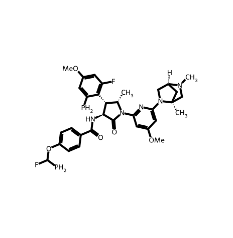 COc1cc(N2C(=O)[C@@H](NC(=O)c3ccc(OC(F)P)cc3)[C@H](c3c(F)cc(OC)cc3P)[C@@H]2C)nc(N2C[C@@H]3C[C@@]2(C)CN3C)c1